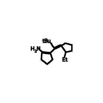 CCC1CCC/C1=C(/C1=C(N)CCC1)C(C)(C)C